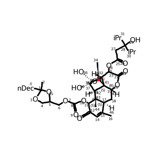 CCCCCCCCCCC1(C)OCC(COC(=O)O[C@@H]2C(=O)C=C(C)[C@@H]3C[C@H]4OC(=O)[C@H](OC(=O)CC(O)(C(C)C)C(C)C)[C@H]5[C@@H](C)[C@@H](O)[C@]6(O)OC[C@@]54[C@H]6[C@@]23C)O1